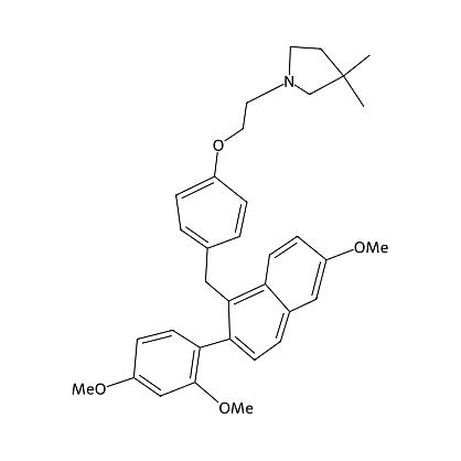 COc1ccc(-c2ccc3cc(OC)ccc3c2Cc2ccc(OCCN3CCC(C)(C)C3)cc2)c(OC)c1